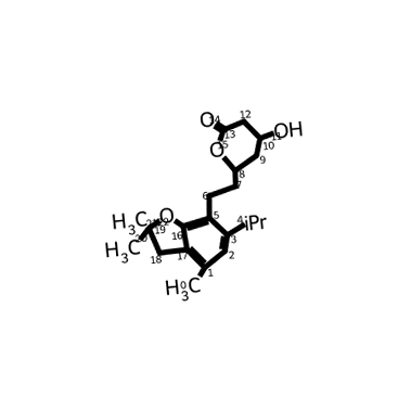 Cc1cc(C(C)C)c(CCC2CC(O)CC(=O)O2)c2c1CC(C)(C)O2